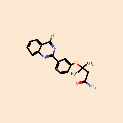 CC(C)(CC(N)=O)Oc1cccc(-c2nc(Cl)c3ccccc3n2)c1